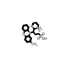 Cc1ccc2c(c1)N(C(CCS(=O)(=O)O)C1N=CC=CN1C)c1ccccc1O2